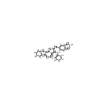 CN1C(=C2SC(=Nc3ccc4c(c3)OCO4)N(Cc3ccccc3)C2=O)Sc2ccccc21